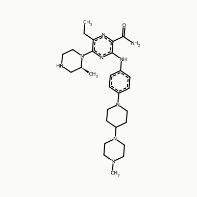 CCc1nc(C(N)=O)c(Nc2ccc(N3CCC(N4CCN(C)CC4)CC3)cc2)nc1N1CCNC[C@@H]1C